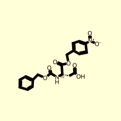 O=C(O)C[C@H](NC(=O)OCc1ccccc1)C(=O)OCc1ccc([N+](=O)[O-])cc1